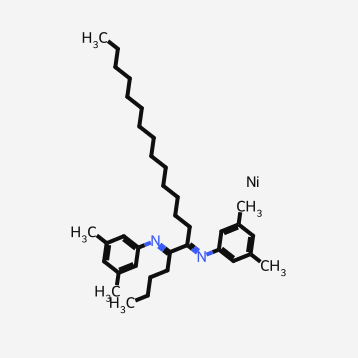 CCCCCCCCCCCCCCC(=N\c1cc(C)cc(C)c1)/C(CCCC)=N/c1cc(C)cc(C)c1.[Ni]